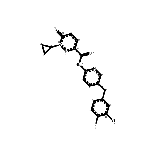 O=C(Nc1ccc(Cc2ccc(F)c(Cl)c2)cn1)c1ccc(=O)n(C2CC2)n1